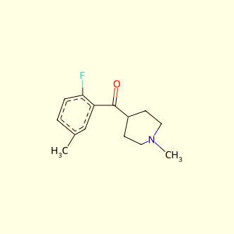 Cc1ccc(F)c(C(=O)C2CCN(C)CC2)c1